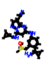 C[S+]([O-])Cc1cc(Nc2cc(NC3CC3)n3ncc(C#N)c3n2)ccc1C1(N)CC1